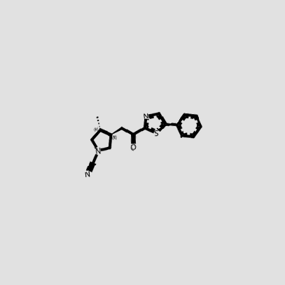 C[C@H]1CN(C#N)C[C@@H]1CC(=O)c1ncc(-c2ccccc2)s1